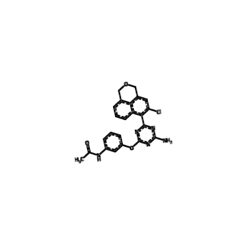 CC(=O)Nc1cccc(Oc2nc(N)nc(-c3c(Cl)cc4c5c(cccc35)COC4)n2)c1